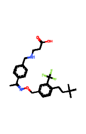 CC(=NOCc1ccc(CCC(C)(C)C)c(C(F)(F)F)c1)c1ccc(CNCCC(=O)O)cc1